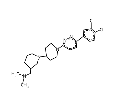 CN(C)CC1CCCN(C2CCN(c3ccc(-c4ccc(Cl)c(Cl)c4)nn3)CC2)C1